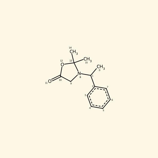 CC(c1ccccc1)N1CC(=O)OC1(C)C